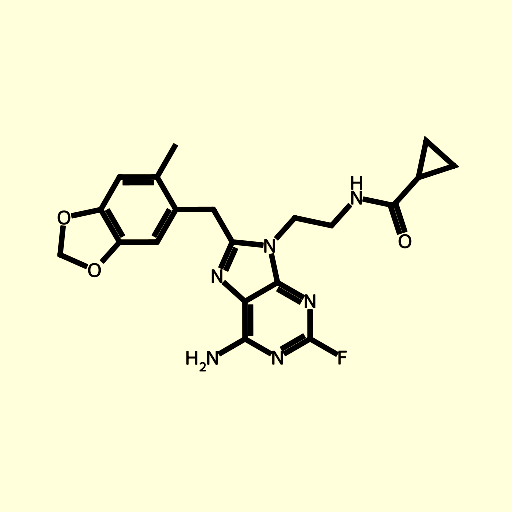 Cc1cc2c(cc1Cc1nc3c(N)nc(F)nc3n1CCNC(=O)C1CC1)OCO2